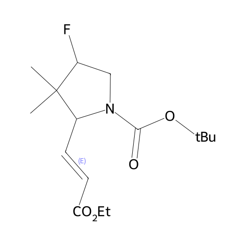 CCOC(=O)/C=C/C1N(C(=O)OC(C)(C)C)CC(F)C1(C)C